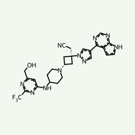 N#CC[C@]1(n2cc(-c3ncnc4[nH]ccc34)cn2)C[C@H](N2CCC(Nc3cc(CO)nc(C(F)(F)F)n3)CC2)C1